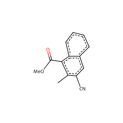 COC(=O)c1c(C)c(C#N)cc2ccccc12